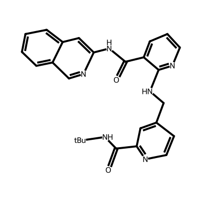 CC(C)(C)NC(=O)c1cc(CNc2ncccc2C(=O)Nc2cc3ccccc3cn2)ccn1